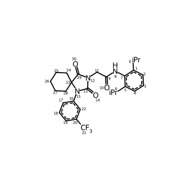 CC(C)c1cccc(C(C)C)c1NC(=O)CN1C(=O)N(c2cccc(C(F)(F)F)c2)C2(CCCCC2)C1=O